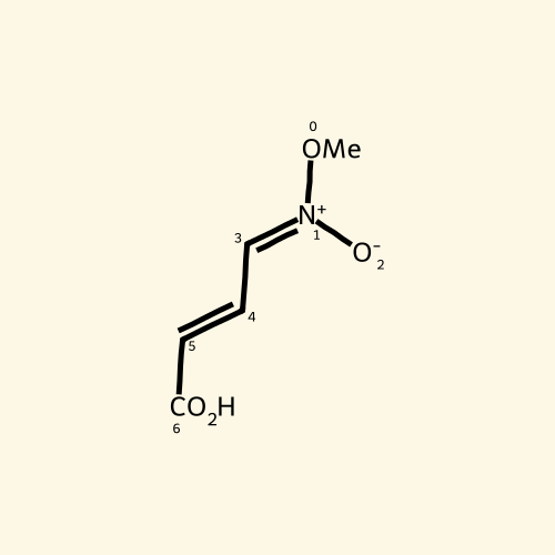 CO[N+]([O-])=C/C=C/C(=O)O